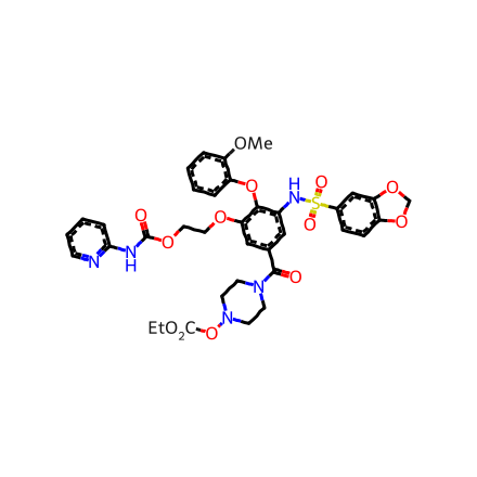 CCOC(=O)ON1CCN(C(=O)c2cc(NS(=O)(=O)c3ccc4c(c3)OCO4)c(Oc3ccccc3OC)c(OCCOC(=O)Nc3ccccn3)c2)CC1